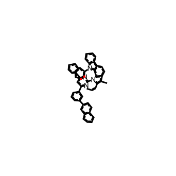 C/C=C\c1c(C)c2ccc3c4ccccc4n(-c4ccccc4)c3c2n1-c1nc(-c2ccccc2)cc(-c2cccc(-c3ccc4ccccc4c3)c2)n1